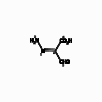 NN=C(C=O)C(=O)O